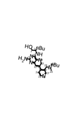 CCCCC(CO)Nc1nc(N)nc2cc(-c3ccncc3CN(C)CCCC)cnc12